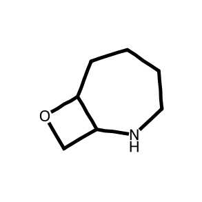 C1CCC2OCC2NC1